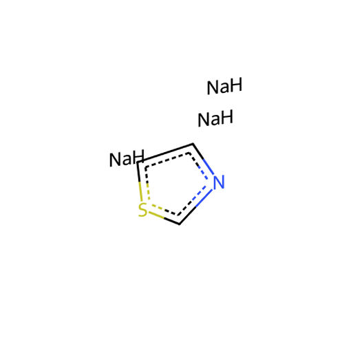 [NaH].[NaH].[NaH].c1cscn1